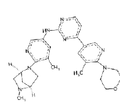 Cc1cc(-c2ccnc(Nc3cnc(N4C[C@@H]5C[C@H]4CN5C)c(C)c3)n2)cnc1N1CCOCC1